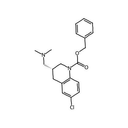 CN(C)C[C@H]1Cc2cc(Cl)ccc2N(C(=O)OCc2ccccc2)C1